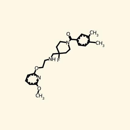 COc1cccc(OCCNCC2(F)CCN(C(=O)c3ccc(C)c(C)c3)CC2)n1